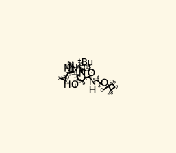 CC1(OCCNC(=O)C2CC(O)CN2C(=O)[C@@H](n2cc(C3CC3)nn2)C(C)(C)C)CCC1